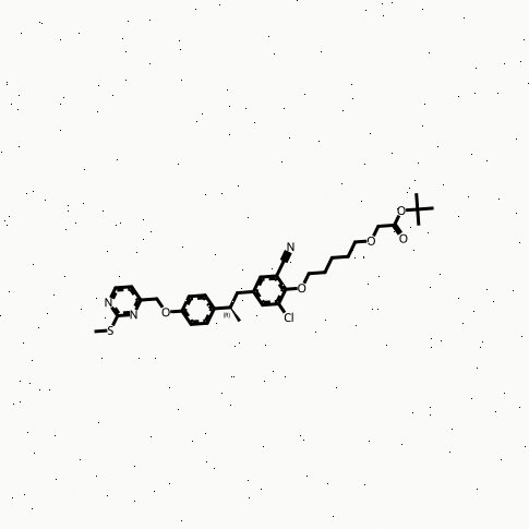 CSc1nccc(COc2ccc([C@H](C)Cc3cc(Cl)c(OCCCCCOCC(=O)OC(C)(C)C)c(C#N)c3)cc2)n1